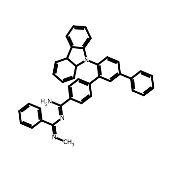 C/N=C(\N=C(/N)c1ccc(-c2cc(-c3ccccc3)ccc2N2c3ccccc3C3C=CC=CC32)cc1)c1ccccc1